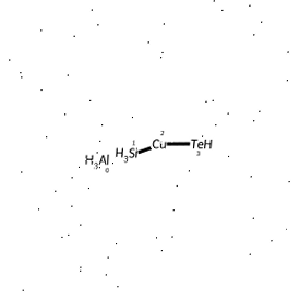 [AlH3].[SiH3][Cu][TeH]